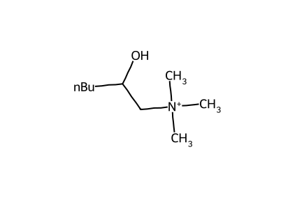 CCCCC(O)C[N+](C)(C)C